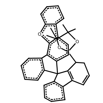 CC1(C)OB(C2CC=CC3=C2C2(c4ccccc43)c3ccccc3-c3c2ccc2c3oc3ccccc32)OC1(C)C